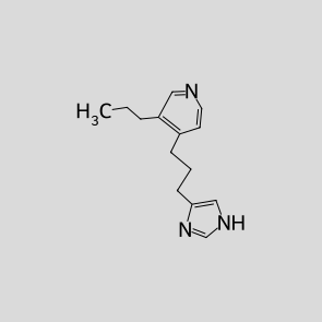 CCCc1cnccc1CCCc1c[nH]cn1